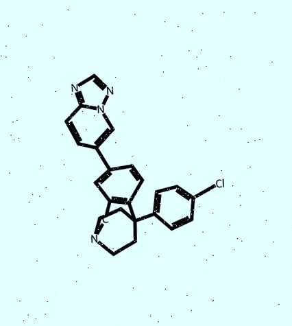 Clc1ccc(C23CCN(CC2)Cc2cc(-c4ccc5ncnn5c4)ccc23)cc1